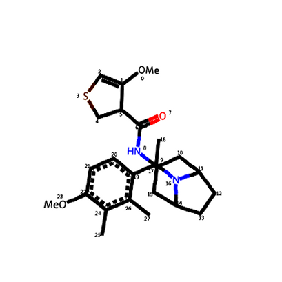 COC1=CSCC1C(=O)NC1CC2CCC(C1)N2C(C)c1ccc(OC)c(C)c1C